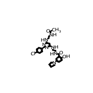 CC(=O)NCCNc1cc(NCCNC(=O)c2cc(-n3cccc3)ccc2O)nc(-c2ccc(Cl)cc2)n1